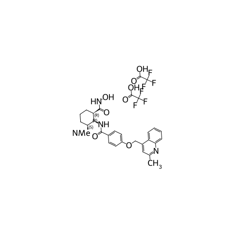 CN[C@H]1CCC[C@@H](C(=O)NO)[C@H]1NC(=O)c1ccc(OCc2cc(C)nc3ccccc23)cc1.O=C(O)C(F)(F)F.O=C(O)C(F)(F)F